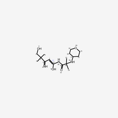 CC(C)(CO)C(=N)/C=C(\O)NC(=O)C(C)(C)NC1CCOCC1